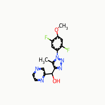 COc1cc(F)c(-n2nnc(C(O)c3cnccn3)c2C)cc1F